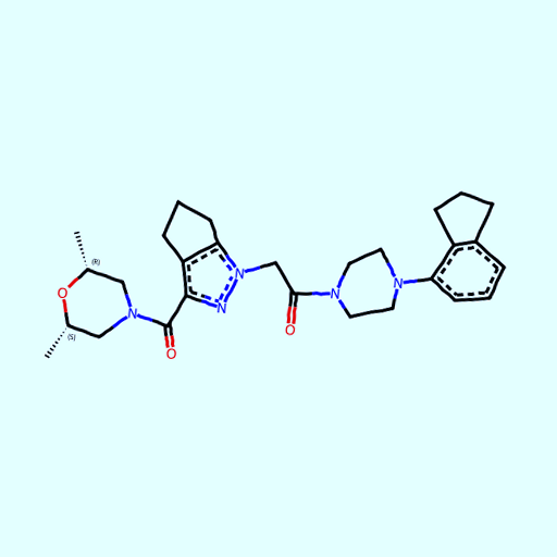 C[C@@H]1CN(C(=O)c2nn(CC(=O)N3CCN(c4cccc5c4CCC5)CC3)c3c2CCC3)C[C@H](C)O1